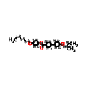 C/C=C\CCCCOc1ccc(OC(=O)c2ccc(-c3ccc(OC[C@@H](C)CC)cc3)cc2)cc1